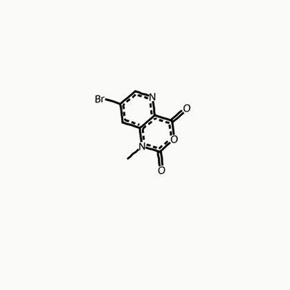 Cn1c(=O)oc(=O)c2ncc(Br)cc21